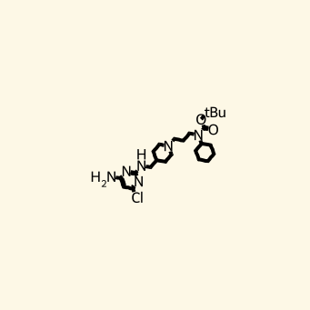 CC(C)(C)OC(=O)N(CCCN1CCC(CNc2nc(N)cc(Cl)n2)CC1)C1CCCCC1